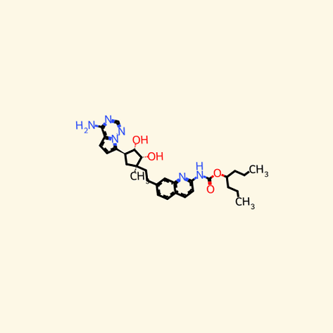 CCCC(CCC)OC(=O)Nc1ccc2ccc(CC[C@@]3(C)C[C@@H](c4ccc5c(N)ncnn45)[C@H](O)[C@@H]3O)cc2n1